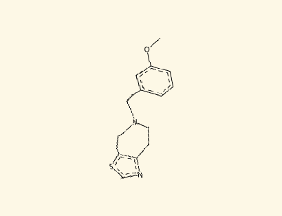 COc1cccc(CN2CCc3n[c]sc3C2)c1